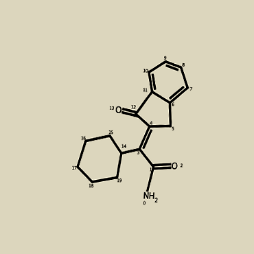 NC(=O)/C(=C1\Cc2ccccc2C1=O)C1CCCCC1